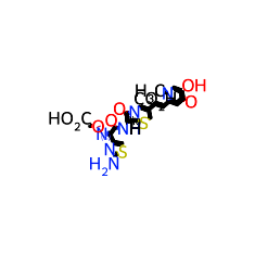 Cn1cc(O)c(=O)cc1C=CC1=C(C(=O)O)N2C(=O)[C@@H](NC(=O)/C(=N\OCC(=O)O)c3csc(N)n3)[C@H]2SC1